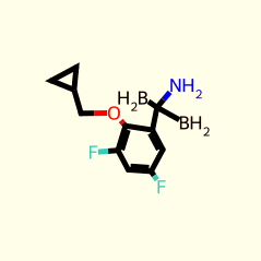 BC(B)(N)c1cc(F)cc(F)c1OCC1CC1